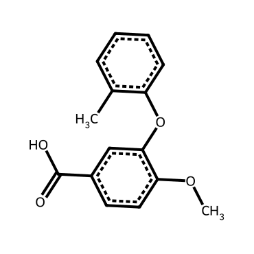 COc1ccc(C(=O)O)cc1Oc1ccccc1C